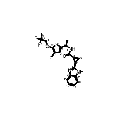 Cc1cc(C(C)NC(=O)C2CC2c2nc3ccccc3[nH]2)sc1OCC(F)(F)F